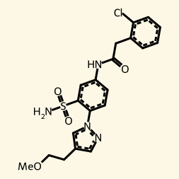 COCCc1cnn(-c2ccc(NC(=O)Cc3ccccc3Cl)cc2S(N)(=O)=O)c1